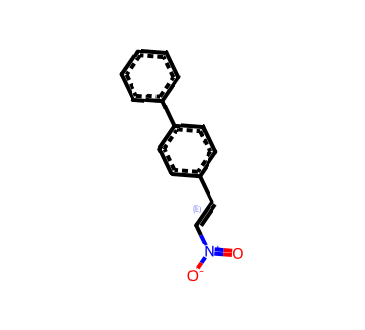 O=[N+]([O-])/C=C/c1ccc(-c2ccccc2)cc1